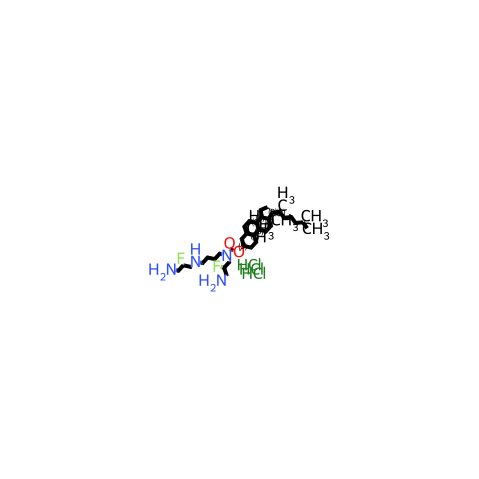 CC(C)CCC[C@@H](C)[C@H]1CC[C@H]2[C@@H]3CC=C4C[C@@H](OC(=O)N(CCCCNCC(F)CN)CC(F)CN)CC[C@]4(C)[C@H]3CC[C@]12C.Cl.Cl.Cl